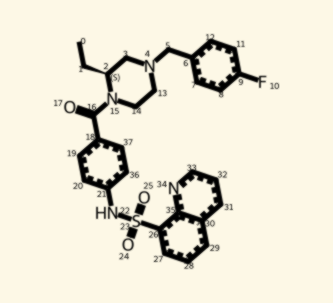 CC[C@H]1CN(Cc2ccc(F)cc2)CCN1C(=O)c1ccc(NS(=O)(=O)c2cccc3cccnc23)cc1